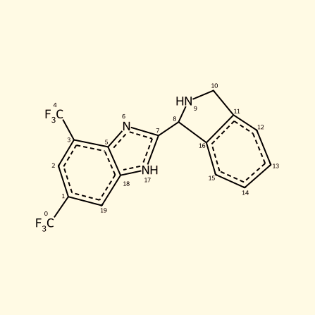 FC(F)(F)c1cc(C(F)(F)F)c2nc(C3NCc4ccccc43)[nH]c2c1